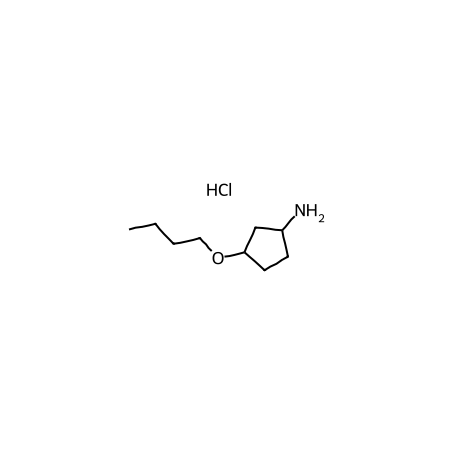 CCCCOC1CCC(N)C1.Cl